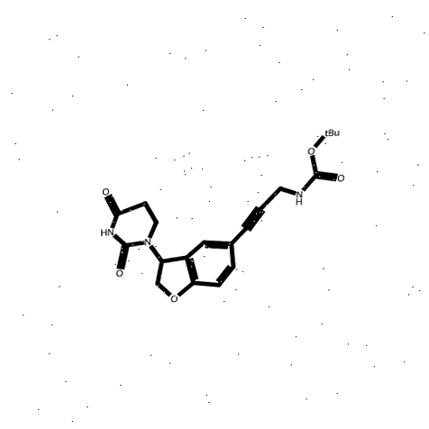 CC(C)(C)OC(=O)NCC#Cc1ccc2c(c1)C(N1CCC(=O)NC1=O)CO2